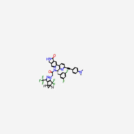 CN(C)c1ccc(C#Cc2ccc(-c3ccc4c(c3)C(=O)NC4)c([C@H](Cc3cc(F)cc(F)c3)NC(=O)Cn3nc(C(F)(F)F)c4c3C(F)(F)[C@@H]3C[C@H]43)n2)cc1